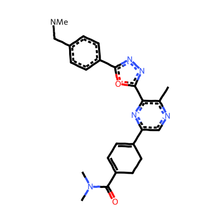 CNCc1ccc(-c2nnc(-c3nc(C4=CC=C(C(=O)N(C)C)CC4)cnc3C)o2)cc1